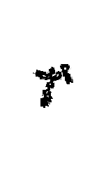 c1ccc2c(c1)ccc1cc(-c3ccc(N(c4ccc(-n5c6ccccc6c6ccccc65)cc4)c4cc5ccccc5c5ccccc45)cc3)ccc12